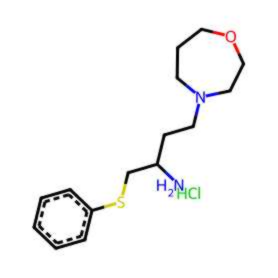 Cl.NC(CCN1CCCOCC1)CSc1ccccc1